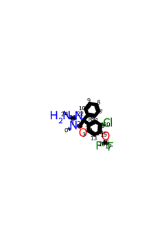 CN1C(=O)C(c2ccccc2)(c2ccc(OC(F)F)c(Cl)c2)N=C1N